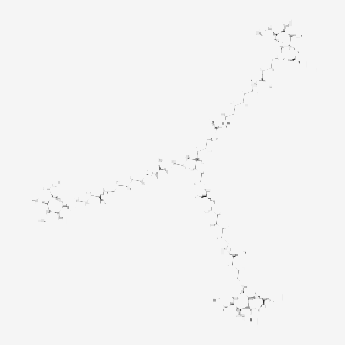 CC(=O)NC1C(OCCCC(=O)NCCCCCCNC(=O)OCCCC(C)(CCCOC(=O)NCCCCCCNC(=O)CCCOC2OC(CO)C(O)C(O)C2C)CCCOC(=O)NCCCCCCNC(=O)CCCOC2OC(CO)C(O)C(O)C2NC(C)=O)OC(CO)C(O)C1O